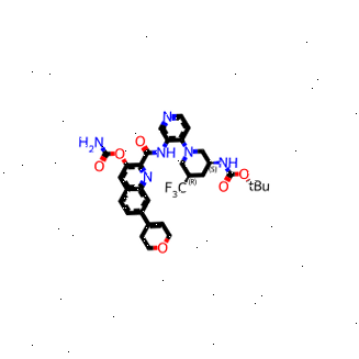 CC(C)(C)OC(=O)N[C@H]1C[C@@H](C(F)(F)F)CN(c2ccncc2NC(=O)c2nc3cc(C4=CCOCC4)ccc3cc2OC(N)=O)C1